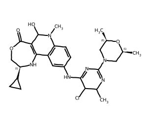 CC1N=C(N2C[C@@H](C)O[C@@H](C)C2)N=C(Nc2ccc3c(c2)C2=C(C(=O)OC[C@H](C4CC4)N2)C(O)N3C)C1Cl